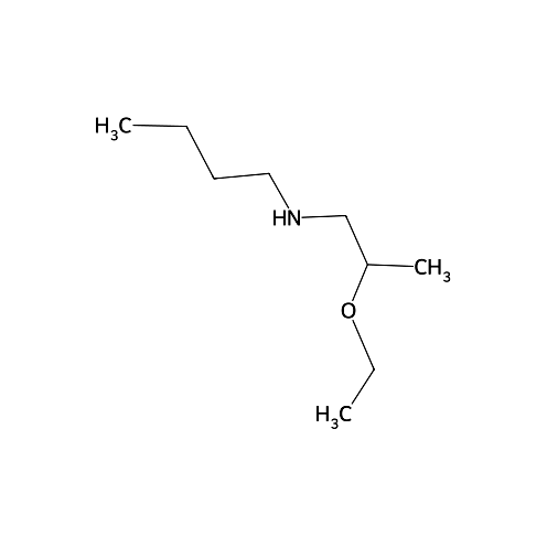 CCCCNCC(C)OCC